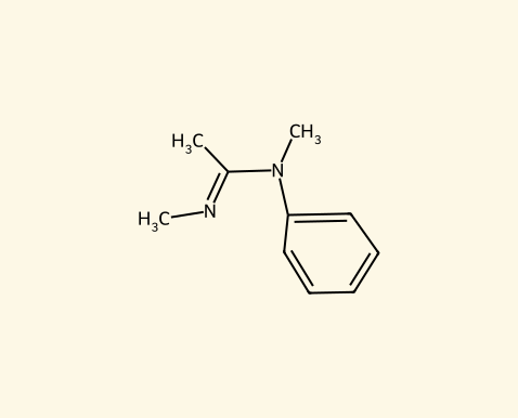 CN=C(C)N(C)c1ccccc1